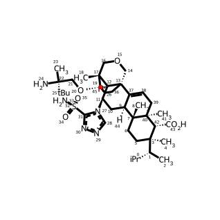 CC(C)[C@@H](C)[C@@]1(C)CC[C@]2(C)[C@H]3CC[C@@H]4[C@@]5(COC[C@@]4(C)[C@@H](OC[C@](C)(N)C(C)(C)C)[C@H](n4cnnc4S(N)(=O)=O)C5)C3=CC[C@@]2(C)[C@@H]1C(=O)O